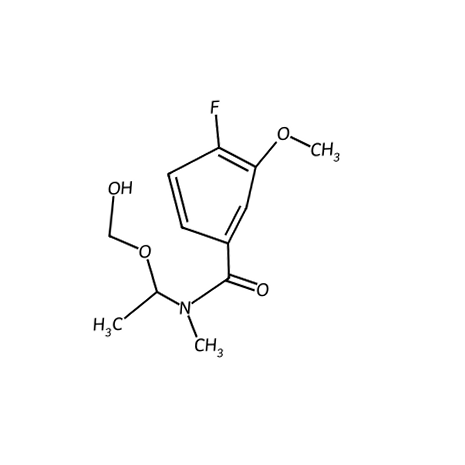 COc1cc(C(=O)N(C)C(C)OCO)ccc1F